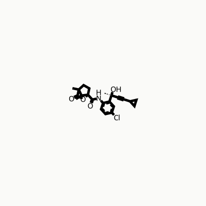 CC12CCC(C(=O)Nc3ccc(Cl)cc3[C@@](C)(O)C#CC3CC3)(OC1=O)C2(C)C